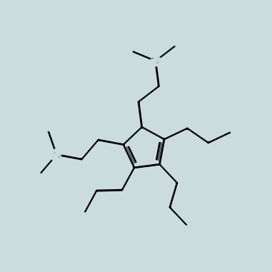 CCCC1=C(CCC)C(CCN(C)C)C(CCN(C)C)=C1CCC